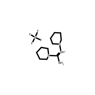 F[B-](F)(F)F.NC(=[NH+]N1CCCCC1)N1CCCCC1